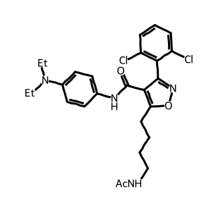 CCN(CC)c1ccc(NC(=O)c2c(-c3c(Cl)cccc3Cl)noc2CCCCNC(C)=O)cc1